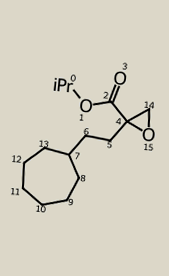 CC(C)OC(=O)C1(CCC2CCCCCC2)CO1